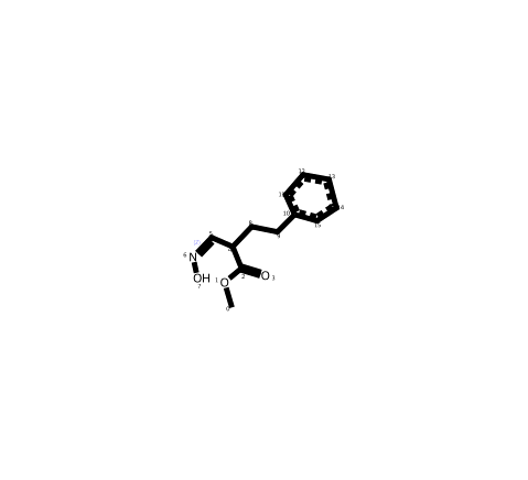 COC(=O)C(/C=N\O)CCc1ccccc1